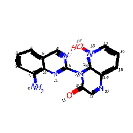 Nc1cccc2cnc(N3C(=O)C=NC4=CC=CN(O)C43)nc12